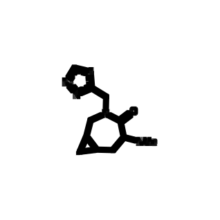 CNC1CC2CC2CN(Cc2nncs2)C1=O